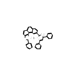 C1=C(c2ccccc2)NC(c2ccc3ccc4ccc5c(c4c3c2)NC(c2ccccc2)S5)NC1c1ccccc1